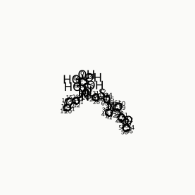 Oc1c(O)c(O)c(-c2nc(-c3ccc4c(ccc5ccccc54)c3)nc(-c3ccc4c(c3)sc3ccc(-n5c6ccccc6c6c(-c7ccc8c(c7)oc7ccccc78)cccc65)cc34)n2)c(O)c1O